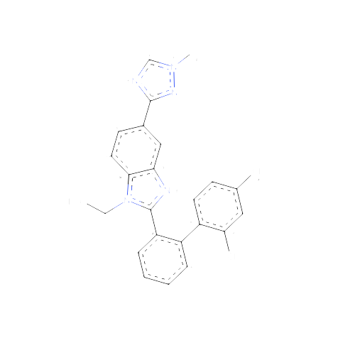 CCn1c(-c2ccccc2-c2ccc(C)cc2C)nc2cc(-c3ncn(C)n3)ccc21